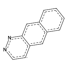 [c]1cnnc2cc3ccccc3cc12